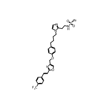 CC(C)S(=O)(=O)NCCc1nccn1CCCCc1ccc(OCc2coc(C=Cc3ccc(C(F)(F)F)cc3)n2)cc1